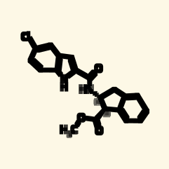 COC(=O)[C@@H]1c2ccccc2C[C@H]1NC(=O)c1cc2cc(Cl)ccc2[nH]1